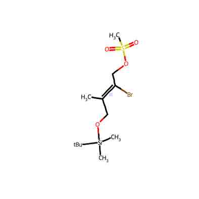 C/C(CO[Si](C)(C)C(C)(C)C)=C(/Br)COS(C)(=O)=O